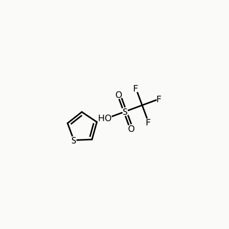 O=S(=O)(O)C(F)(F)F.c1ccsc1